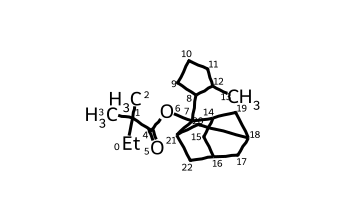 CCC(C)(C)C(=O)OC1(C2CCCC2C)C2CC3CC(C2)CC1C3